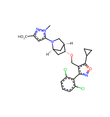 Cn1nc(C(=O)O)cc1N1C[C@@H]2C[C@H]1C[C@H]2OCc1c(-c2c(Cl)cccc2Cl)noc1C1CC1